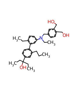 CCCc1cc(C(O)(CC)CC)ccc1-c1cc(N(CC)Cc2ccc(CO)c(CO)c2)ccc1CC